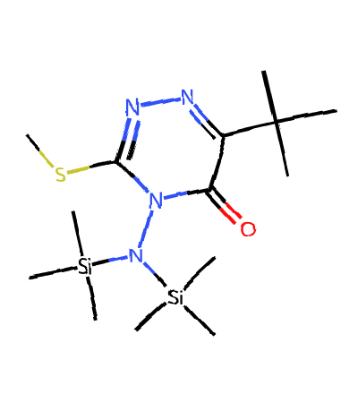 CSc1nnc(C(C)(C)C)c(=O)n1N([Si](C)(C)C)[Si](C)(C)C